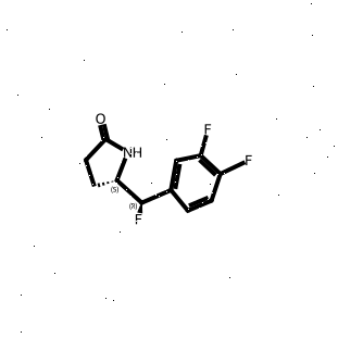 O=C1CC[C@@H]([C@H](F)c2ccc(F)c(F)c2)N1